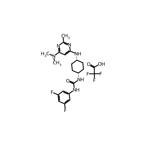 Cc1nc(N[C@H]2CC[C@@H](NC(=O)Nc3cc(F)cc(F)c3)CC2)cc(N(C)C)n1.O=C(O)C(F)(F)F